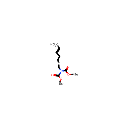 CC(C)(C)OC(=O)N(CCCC/C=C/C(=O)O)C(=O)OC(C)(C)C